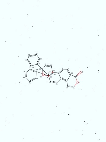 O=c1occc2c3c(ccc12)C12C=CCOC1(C=C3)CC(c1ccccc1)(c1ccccc1)C=C2